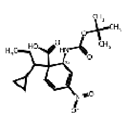 CCC(C1CC1)C1(C(=O)O)C=CC([N+](=O)[O-])=C[C@@H]1NC(=O)OC(C)(C)C